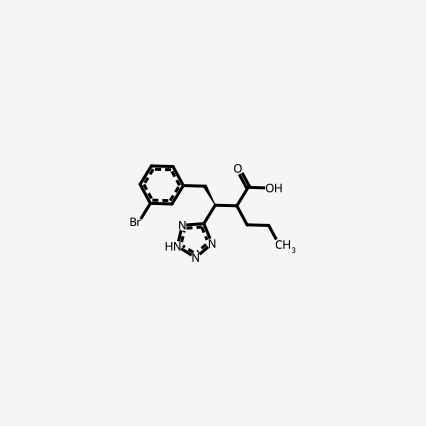 CCCC(C(=O)O)[C@H](Cc1cccc(Br)c1)c1nn[nH]n1